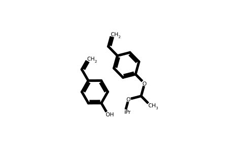 C=Cc1ccc(O)cc1.C=Cc1ccc(OC(C)OC(C)C)cc1